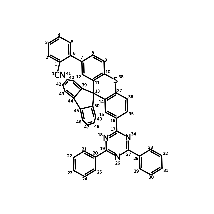 N#Cc1ccccc1-c1ccc2c(c1)C1(c3cc(-c4nc(-c5ccccc5)nc(-c5ccccc5)n4)ccc3S2)c2ccccc2-c2ccccc21